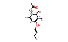 CC/C=C/Oc1cc(C)c(OC(C)=O)c(C)c1C